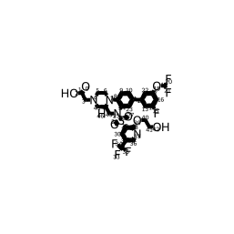 O=C(O)CN1CCN2c3ccc(-c4cc(F)cc(OC(F)F)c4)cc3N(S(=O)(=O)c3cc(C(F)(F)F)cnc3OCCO)C[C@@H]2C1